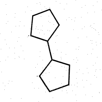 [CH]1CCCC1C1[CH]CCC1